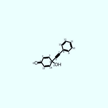 O=C1C=CC(O)(C#Cc2ccccc2)C=C1